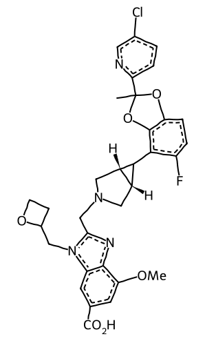 COc1cc(C(=O)O)cc2c1nc(CN1C[C@@H]3C(c4c(F)ccc5c4OC(C)(c4ccc(Cl)cn4)O5)[C@@H]3C1)n2CC1CCO1